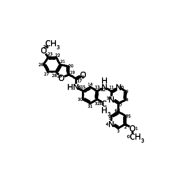 COc1cncc(-c2ccnc(Nc3cc(NC(=O)c4cc5cc(OC)ccc5o4)ccc3C)n2)c1